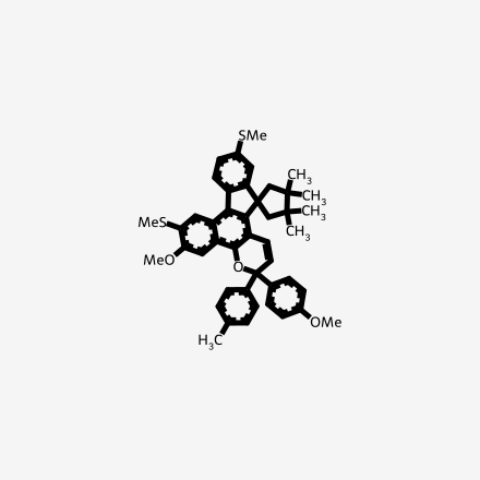 COc1ccc(C2(c3ccc(C)cc3)C=Cc3c4c(c5cc(SC)c(OC)cc5c3O2)-c2ccc(SC)cc2C42CC(C)(C)C(C)(C)C2)cc1